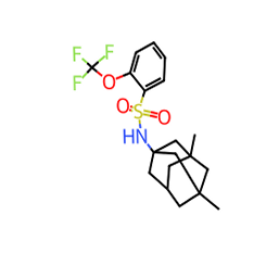 CC12CC3CC(C)(C1)CC(NS(=O)(=O)c1ccccc1OC(F)(F)F)(C3)C2